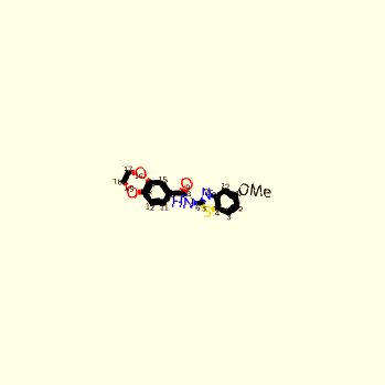 COc1ccc2sc(NC(=O)c3ccc4c(c3)OCCO4)nc2c1